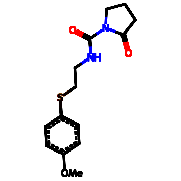 COc1ccc(SCCNC(=O)N2CCCC2=O)cc1